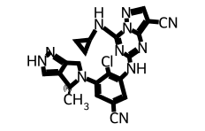 C[C@@H]1c2c[nH]nc2CN1c1cc(C#N)cc(Nc2nc(NC3CC3)n3ncc(C#N)c3n2)c1Cl